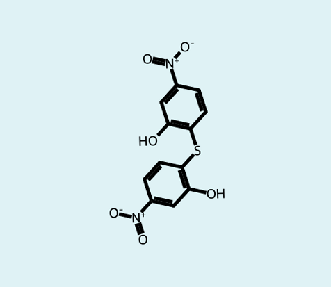 O=[N+]([O-])c1ccc(Sc2ccc([N+](=O)[O-])cc2O)c(O)c1